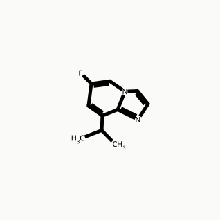 CC(C)c1cc(F)cn2ccnc12